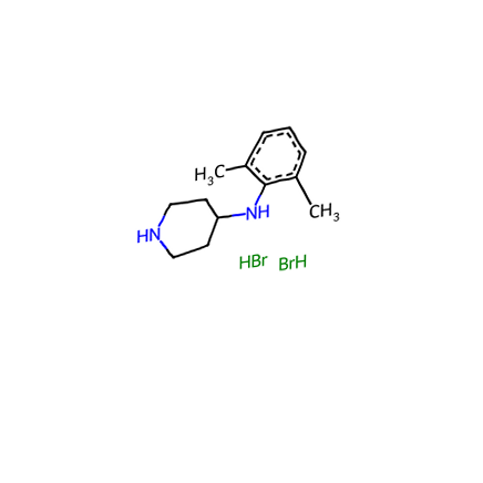 Br.Br.Cc1cccc(C)c1NC1CCNCC1